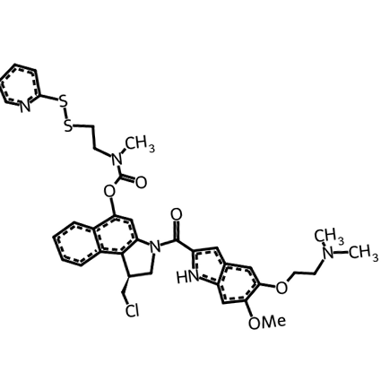 COc1cc2[nH]c(C(=O)N3C[C@@H](CCl)c4c3cc(OC(=O)N(C)CCSSc3ccccn3)c3ccccc43)cc2cc1OCCN(C)C